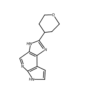 c1cc2c(ncc3[nH]c(C4CCOCC4)nc32)[nH]1